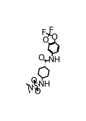 CN(C)S(=O)(=O)N[C@H]1CC[C@H](C(=O)Nc2ccc3c(c2)OC(F)(F)O3)CC1